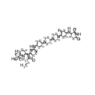 C=CCn1c(=O)c2cnc(Nc3ccc(N4CCC(N5CCN(c6ccc(N[C@H]7CCC(=O)NC7=O)cc6F)CC5)CC4)cc3)nc2n1-c1cccc(C(C)(C)O)n1